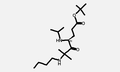 CCCCNC(C)(C)C(=O)[C@H](CCC(=O)OC(C)(C)C)NC(C)C